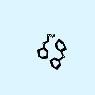 O=C(O)COc1ccccc1.c1ccc(Oc2ccccc2)cc1